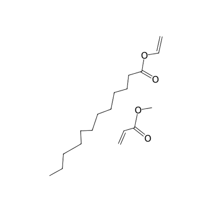 C=CC(=O)OC.C=COC(=O)CCCCCCCCCCC